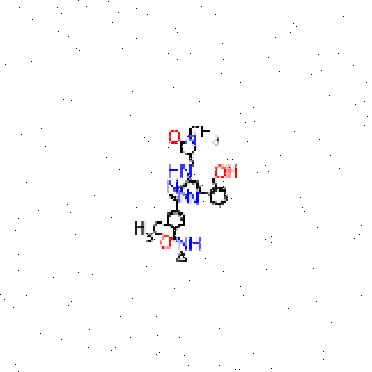 Cc1cc(-c2cnc3c(NCC4CC(=O)N(C)C4)cc(-c4ccccc4CO)nn23)ccc1C(=O)NC1CC1